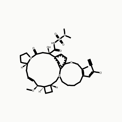 C#C/C(Cl)=C\C1=C(/C)COc2ccc3cc2N(CCCC1)C[C@@H]1CC[C@H]1[C@@H](OC)/C=C/C[C@@H]1CCCN1C(=O)C[C@]3(O)C(=O)NS(=O)(=O)N(C)C